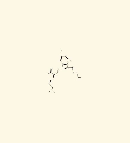 C=C(C)/C(CCn1cc(C(=O)NCC(F)F)c2ncc(OC)cc21)=N\C=N/CN(C)C